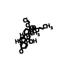 CCCOC(=O)O[C@]1(C(=O)OCCl)CC[C@H]2[C@@H]3CCC4=CC(=O)C=C[C@]4(C)[C@H]3[C@@H](O)C[C@@]21C